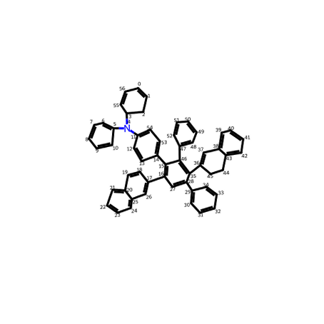 C1=CCC(N(c2ccccc2)c2ccc(-c3c(-c4ccc5ccccc5c4)cc(-c4ccccc4)c(C4=Cc5ccccc5CC4)c3-c3ccccc3)cc2)C=C1